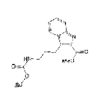 COC(=O)c1nc2ccccn2c1CCCNC(=O)OC(C)(C)C